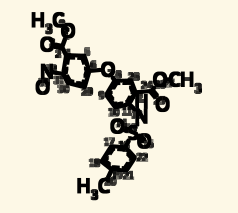 COC(=O)c1cc(Oc2ccc(NS(=O)(=O)c3ccc(C)cc3)c(C(=O)OC)c2)ccc1N=O